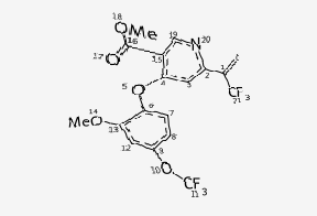 C=C(c1cc(Oc2ccc(OC(F)(F)F)cc2OC)c(C(=O)OC)cn1)C(F)(F)F